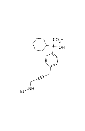 CCNCC#CCc1ccc(C(O)(C(=O)O)C2CCCCC2)cc1